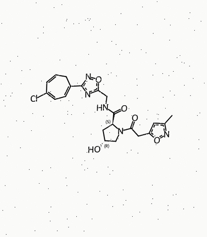 Cc1cc(CC(=O)N2C[C@H](O)C[C@H]2C(=O)NCc2nc(C3=CC=C(Cl)C=CC3)no2)on1